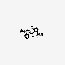 O=C1CCN(C(=O)O)C1C(=O)N1CCN(C2CC2)c2ccccc21